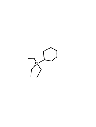 CC[Si](CC)(CC)C1CCCCC1